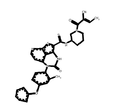 CC=C(C#N)C(=O)N1CCCC(NC(=O)c2sc3nccc4c3c2NC(=O)N4c2ccc(Oc3ccccc3)cc2C)C1